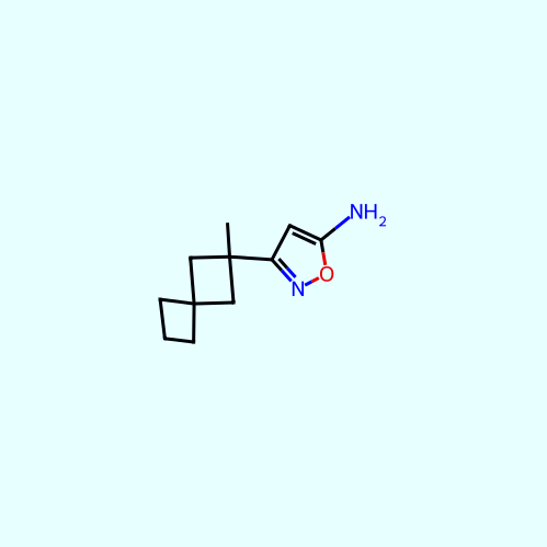 CC1(c2cc(N)on2)CC2(CCC2)C1